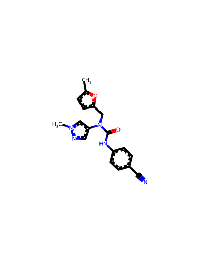 Cc1ccc(CN(C(=O)Nc2ccc(C#N)cc2)c2cnn(C)c2)o1